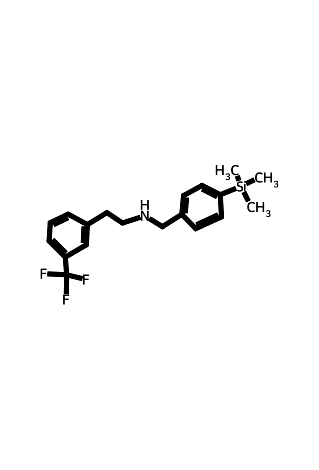 C[Si](C)(C)c1ccc(CNCCc2cccc(C(F)(F)F)c2)cc1